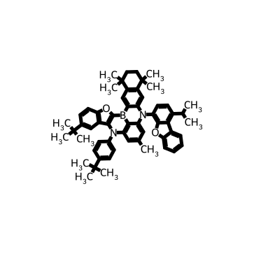 Cc1cc2c3c(c1)N(c1ccc(C(C)C)c4c1oc1ccccc14)c1cc4c(cc1B3c1oc3ccc(C(C)(C)C)cc3c1N2c1ccc(C(C)(C)C)cc1)C(C)(C)CCC4(C)C